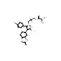 Cc1nn(CC(F)(F)COC(=O)[C@@H](N)C(C)C)c(-c2ccc(F)cc2)c1-c1ccc2c(c1)NC(=O)CO2